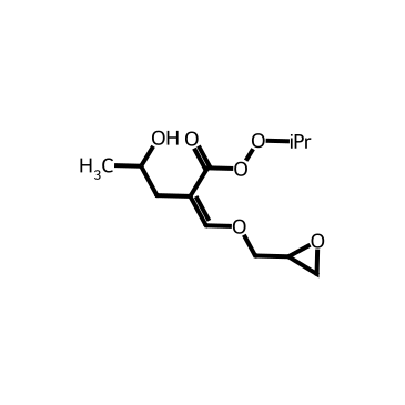 CC(O)CC(=COCC1CO1)C(=O)OOC(C)C